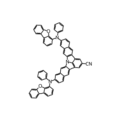 N#Cc1cc2c3cc4ccc(N(c5ccccc5)c5cccc6c5oc5ccccc56)cc4cc3n3c4cc5cc(N(c6ccccc6)c6cccc7c6oc6ccccc67)ccc5cc4c(c1)c23